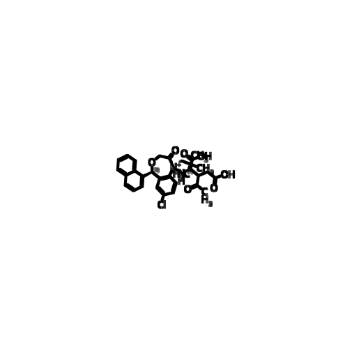 CC(=O)C(CC(=O)O)[C@H](N[N@+]1(CC(C)(C)C)C(=O)CO[C@H](c2cccc3ccccc23)c2cc(Cl)ccc21)C(=O)O